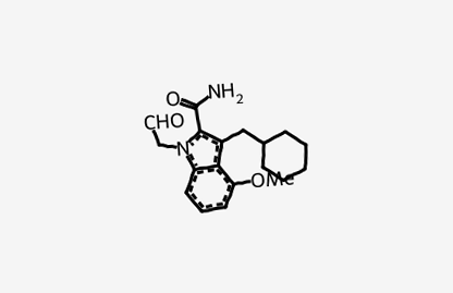 COc1cccc2c1c(CC1CCCCC1)c(C(N)=O)n2CC=O